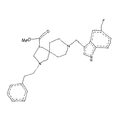 COC(=O)C1CN(CCc2ccccc2)CC12CCN(Cc1c[nH]c3ccc(F)cc13)CC2